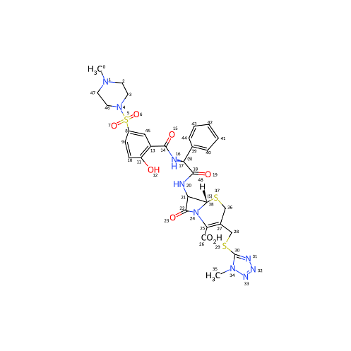 CN1CCN(S(=O)(=O)c2ccc(O)c(C(=O)N[C@H](C(=O)NC3C(=O)N4C(C(=O)O)=C(CSc5nnnn5C)CS[C@@H]34)c3ccccc3)c2)CC1